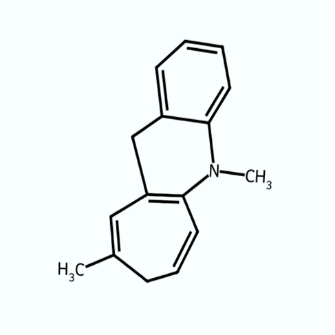 CC1=CC2=C(C=CC1)N(C)c1ccccc1C2